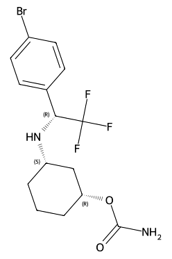 NC(=O)O[C@@H]1CCC[C@H](N[C@H](c2ccc(Br)cc2)C(F)(F)F)C1